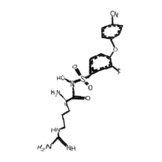 N#Cc1ccc(Oc2ccc(S(=O)(=O)N(O)C(=O)[C@H](N)CCCNC(=N)N)cc2F)cc1